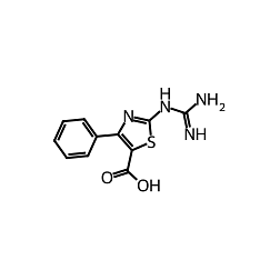 N=C(N)Nc1nc(-c2ccccc2)c(C(=O)O)s1